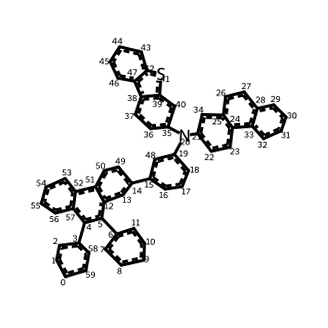 c1ccc(-c2c(-c3ccccc3)c3cc(-c4cccc(N(c5ccc6c(ccc7ccccc76)c5)c5ccc6c(c5)sc5ccccc56)c4)ccc3c3ccccc23)cc1